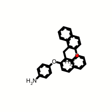 COc1ccc2ccccc2c1Cc1c(Oc2ccc(N)cc2)ccc2ccccc12